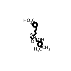 CC1(C)CCC(O)(CCN2C(=O)CSC2CCCc2ccc(C(=O)O)cc2)CC1